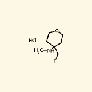 CNC1(CF)CCOCC1.Cl